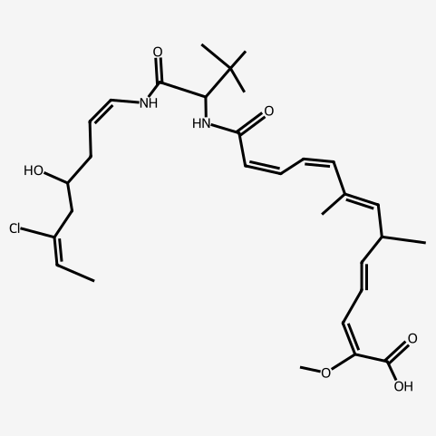 C/C=C(/Cl)CC(O)C/C=C\NC(=O)C(NC(=O)\C=C/C=C\C(C)=C\C(C)/C=C/C=C(/OC)C(=O)O)C(C)(C)C